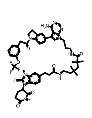 Cn1c(=O)n(C2CCC(=O)NC2=O)c2ccc(CCC(=O)NCCC(C)(C)CC(C)(C)C(=O)NCCCn3cc(-c4ccc5c(c4)CCN5C(=O)Cc4cccc(OC(F)(F)F)c4)c4c(N)ncnc43)cc21